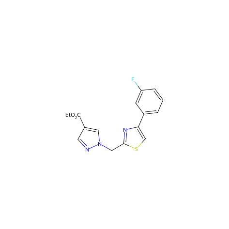 CCOC(=O)c1cnn(Cc2nc(-c3cccc(F)c3)cs2)c1